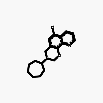 Clc1cc2c(c3ncccc13)OCN(C1CCCCCC1)C2